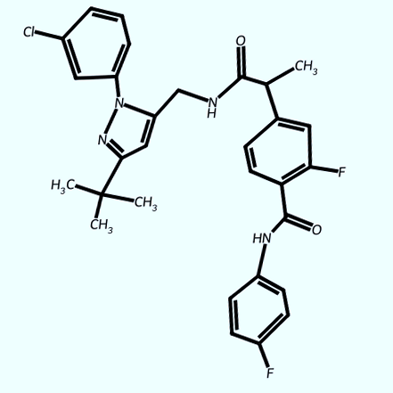 CC(C(=O)NCc1cc(C(C)(C)C)nn1-c1cccc(Cl)c1)c1ccc(C(=O)Nc2ccc(F)cc2)c(F)c1